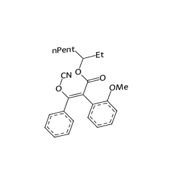 CCCCCC(CC)OC(=O)C(=C(OC#N)c1ccccc1)c1ccccc1OC